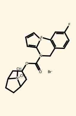 C[N+]1(C)C2CCC1CC(OC(=O)N(Cc1ccc(F)cc1F)c1cccs1)C2.[Br-]